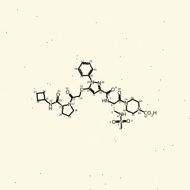 CS(=O)(=O)NC[C@H](NC(=O)c1cc(OCC(=O)N2CCC[C@H]2C(=O)NC2CCC2)n(-c2ccccc2)n1)C(=O)N1CCN(C(=O)O)CC1